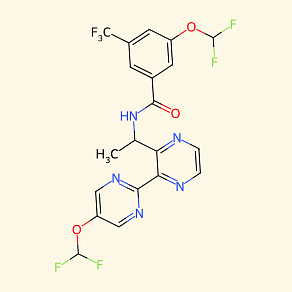 CC(NC(=O)c1cc(OC(F)F)cc(C(F)(F)F)c1)c1nccnc1-c1ncc(OC(F)F)cn1